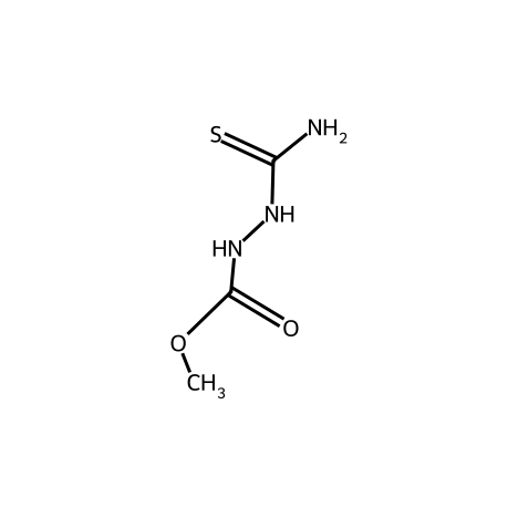 COC(=O)NNC(N)=S